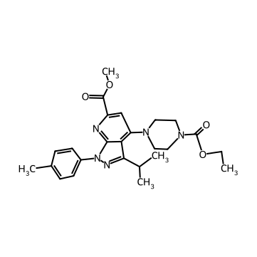 CCOC(=O)N1CCN(c2cc(C(=O)OC)nc3c2c(C(C)C)nn3-c2ccc(C)cc2)CC1